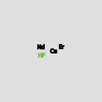 F.[Ce].[Er].[Nd]